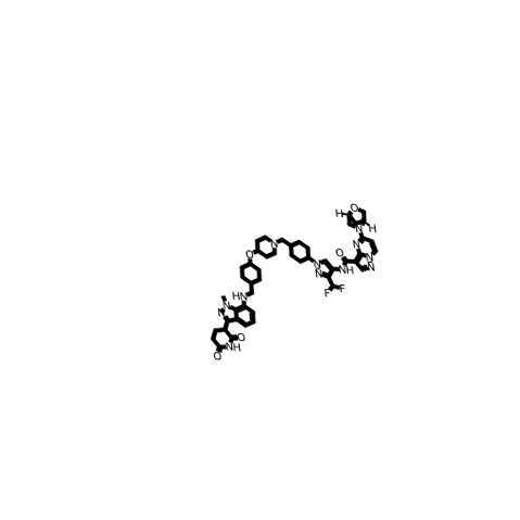 Cn1nc(C2CCC(=O)NC2=O)c2cccc(NCC3CCC(OC4CCN(CC5CCC(n6cc(NC(=O)c7cnn8ccc(N9C[C@H]%10C[C@@H]9CO%10)nc78)c(C(F)F)n6)CC5)CC4)CC3)c21